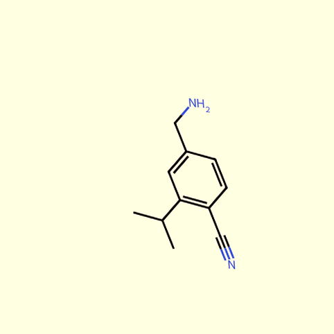 CC(C)c1cc(CN)ccc1C#N